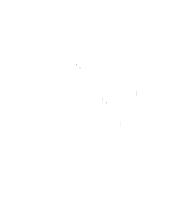 C[N+](C)(C)c1ccccc1.O=[N+]([O-])[O-]